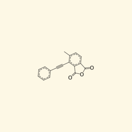 Cc1ccc2c(c1C#Cc1ccccc1)C(=O)OC2=O